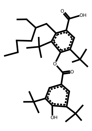 CCCCC(CC)Cc1c(C(=O)O)cc(C(C)(C)C)c(OC(=O)c2cc(C(C)(C)C)c(O)c(C(C)(C)C)c2)c1C(C)(C)C